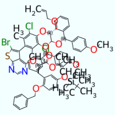 C=CCOC[C@@H](Oc1c(Cl)c(C)c(-c2c(Br)sc3ncnc(O[C@H](Cc4cc(O[Si](C)(C)C(C)(C)C)ccc4OCc4ccccc4)C(=O)OC(C)(C)C)c23)c(C)c1Cl)C(O[C@H](c1ccccc1)c1ccc(OC)cc1)O[C@H](c1ccccc1)c1ccc(OC)cc1